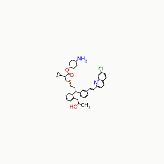 CC(O)Cc1ccccc1[C@H](CCSCC(C(=O)OC1CCC(N)CC1)C1CC1)c1cccc(C=Cc2ccc3ccc(Cl)cc3n2)c1